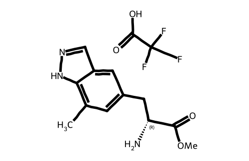 COC(=O)[C@H](N)Cc1cc(C)c2[nH]ncc2c1.O=C(O)C(F)(F)F